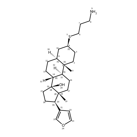 C[C@]12CC[C@H](SCCCN)C[C@@H]1CC[C@@H]1[C@@H]2CC[C@]2(C)[C@@H](c3ccoc3)CC[C@]12O